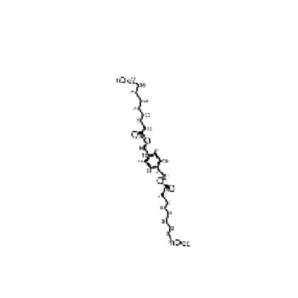 CCCCCCCCCCCCCCCCCC(=O)OCc1ccc(COC(=O)CCCCCCCCCCCCCCCCC)cc1